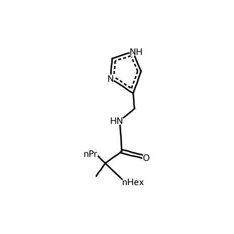 CCCCCCC(C)(CCC)C(=O)NCc1c[nH]cn1